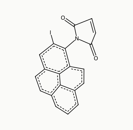 O=C1C=CC(=O)N1c1c(I)cc2ccc3cccc4ccc1c2c34